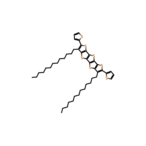 CCCCCCCCCCCCCc1c(-c2cccs2)sc2c1sc1c2sc2c3sc(-c4cccs4)c(CCCCCCCCCCCCC)c3sc21